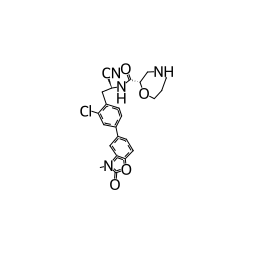 Cn1c(=O)oc2ccc(-c3ccc(C[C@@H](C#N)NC(=O)[C@@H]4CNCCCO4)c(Cl)c3)cc21